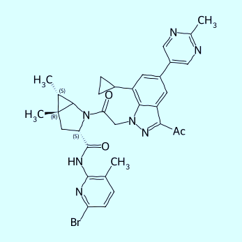 CC(=O)c1nn(CC(=O)N2C3[C@@H](C)[C@@]3(C)C[C@H]2C(=O)Nc2nc(Br)ccc2C)c2c(C3CC3)cc(-c3cnc(C)nc3)cc12